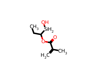 C=C(C)C(=O)OC(CC)[SiH2]O